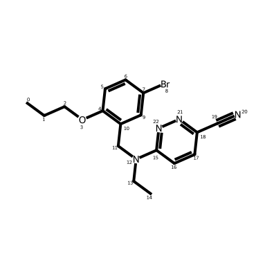 CCCOc1ccc(Br)cc1CN(CC)c1ccc(C#N)nn1